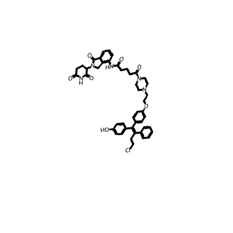 O=C1CCC(N2Cc3c(NC(=O)CCCC(=O)N4CCN(CCOc5ccc(C(=C(CCCl)c6ccccc6)c6ccc(O)cc6)cc5)CC4)cccc3C2=O)C(=O)N1